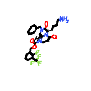 NCCCC[C@H]1C(=O)N(Cc2ccccc2)C[C@@H]2N(C(=O)OCc3cccc(C(F)(F)F)c3F)CCC(=O)N21